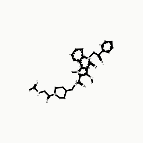 COc1c(C(=O)NCC2CCN(C(=O)COC(C)=O)CC2)n(C)c2c1c(=O)n(CC(=O)c1ccccc1)c1ccccc21